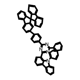 c1ccc(-c2nc(-c3ccc(-c4ccc5c(c4)C4(c6ccccc6-c6ccccc64)c4ccccc4-5)cc3)nc(-c3cccc4c5ccccc5n(-c5ccccc5)c34)n2)cc1